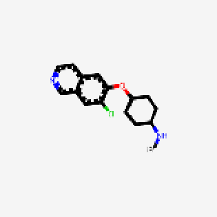 CC(C)NC1CCC(Oc2cc3ccncc3cc2Cl)CC1